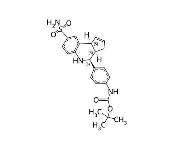 CC(C)(C)OC(=O)Nc1ccc([C@H]2Nc3ccc(S(N)(=O)=O)cc3[C@H]3C=CC[C@H]32)cc1